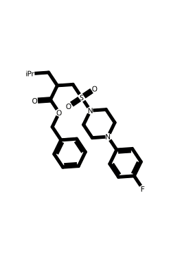 CC(C)CC(CS(=O)(=O)N1CCN(c2ccc(F)cc2)CC1)C(=O)OCc1ccccc1